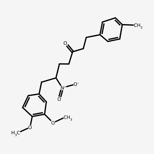 COc1ccc(CC(CCC(=O)CCc2ccc(C)cc2)[N+](=O)[O-])cc1OC